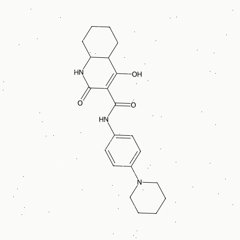 O=C(Nc1ccc(N2CCCCC2)cc1)C1=C(O)C2CCCCC2NC1=O